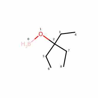 BOC(CC)(CC)CC